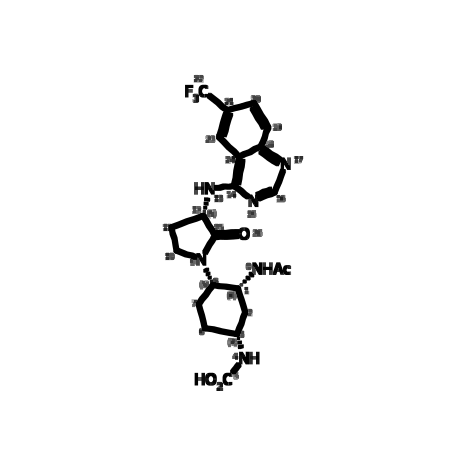 CC(=O)N[C@@H]1C[C@H](NC(=O)O)CC[C@@H]1N1CC[C@H](Nc2ncnc3ccc(C(F)(F)F)cc23)C1=O